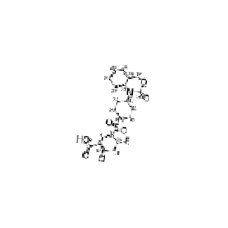 O=C(O)c1cc(S(=O)(=O)N2CCC(N3C(=O)OCc4ccccc43)CC2)c(F)cc1Cl